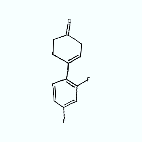 O=C1CC=C(c2ccc(F)cc2F)CC1